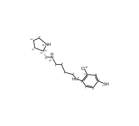 Sc1ccc(NCCCCNC[C@@H]2CCCN2)c(Cl)c1